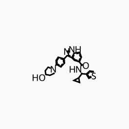 O=C(NC(c1ccsc1)C1CC1)c1ccc2[nH]nc(-c3ccc(N4CCC(O)CC4)cc3)c2c1